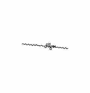 CCCCCCCCCCCCCCCCCCOC(=O)CNC(=O)NCCCCCCCCCCCC